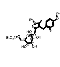 CCOC(=O)OC[C@H]1O[C@@](O)(Oc2nn(C(C)C)c(C)c2Cc2ccc(OC(C)C)cc2F)[C@H](O)[C@@H](O)[C@@H]1O